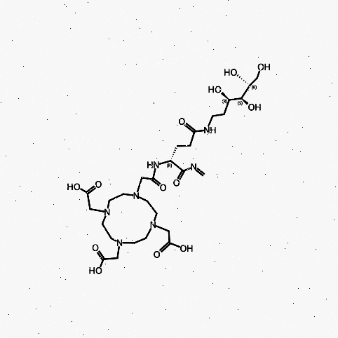 C=NC(=O)[C@@H](CCC(=O)NCC[C@@H](O)[C@H](O)[C@H](O)CO)NC(=O)CN1CCN(CC(=O)O)CCN(CC(=O)O)CCN(CC(=O)O)CC1